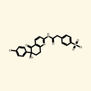 CCCC1(c2ccc(Cl)cc2)CCc2nc(NC(=O)Cc3ccc(S(=O)(=O)CC)cc3)ccc2C1=O